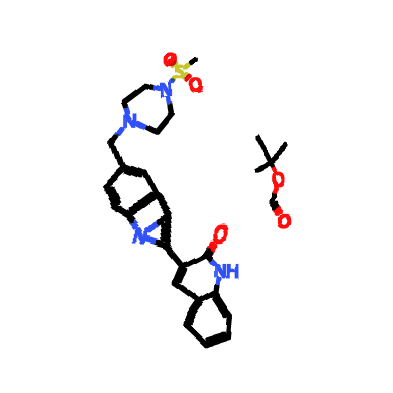 CC(C)(C)OC=O.CS(=O)(=O)N1CCN(Cc2ccc3c(c2)c2c(-c4cc5ccccc5[nH]c4=O)n3-2)CC1